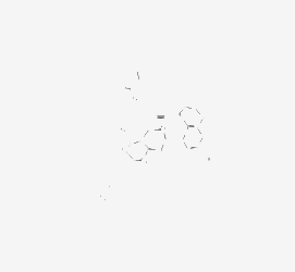 C#Cc1cccc2cc(O)cc(-c3ncc4c(N5CC[C@](C)(O)C[C@H](NC(=O)C=C)C5)nc(OCC56CCCN5CCC6)nc4c3F)c12